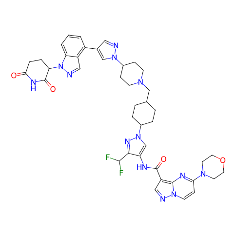 O=C1CCC(n2ncc3c(-c4cnn(C5CCN(CC6CCC(n7cc(NC(=O)c8cnn9ccc(N%10CCOCC%10)nc89)c(C(F)F)n7)CC6)CC5)c4)cccc32)C(=O)N1